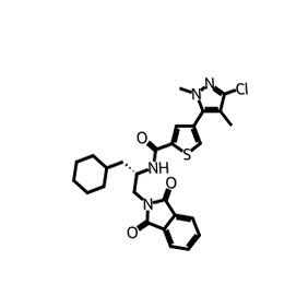 Cc1c(Cl)nn(C)c1-c1csc(C(=O)N[C@@H](CC2CCCCC2)CN2C(=O)c3ccccc3C2=O)c1